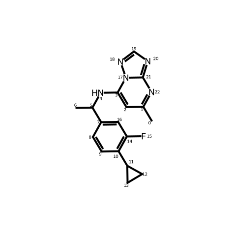 Cc1cc(NC(C)c2ccc(C3CC3)c(F)c2)n2ncnc2n1